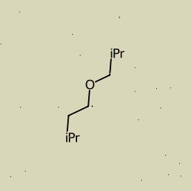 CC(C)C[CH]OCC(C)C